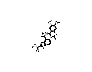 COC(=O)c1cc2c(C(C)Nc3nc(C)nc4cc(OC)c(OC)cc34)cccc2s1